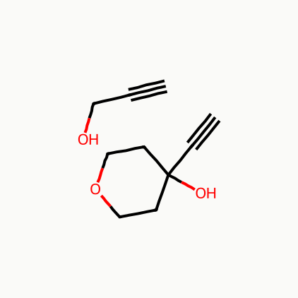 C#CC1(O)CCOCC1.C#CCO